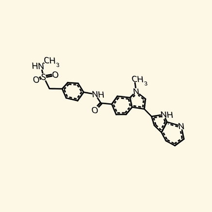 CNS(=O)(=O)Cc1ccc(NC(=O)c2ccc3c(-c4cc5cccnc5[nH]4)cn(C)c3c2)cc1